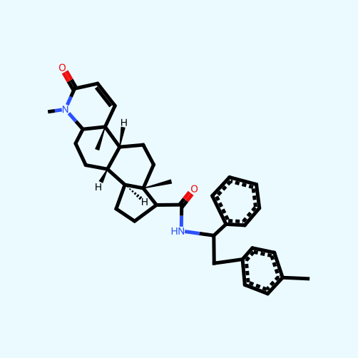 Cc1ccc(CC(NC(=O)C2CC[C@H]3[C@@H]4CCC5N(C)C(=O)C=C[C@]5(C)[C@@H]4CC[C@]23C)c2ccccc2)cc1